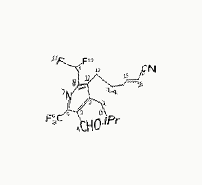 CC(C)Cc1c([C]=O)c(C(F)(F)F)nc(C(F)F)c1CCC=CC#N